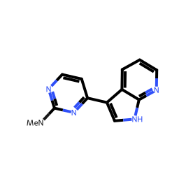 CNc1nccc(-c2c[nH]c3ncccc23)n1